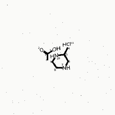 CC(=O)O.CC1CNCCN1.Cl